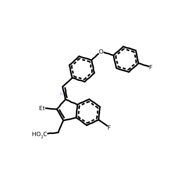 CCC1=C(CC(=O)O)c2cc(F)ccc2/C1=C\c1ccc(Oc2ccc(F)cc2)cc1